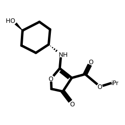 CC(C)OC(=O)C1=C(N[C@H]2CC[C@H](O)CC2)OCC1=O